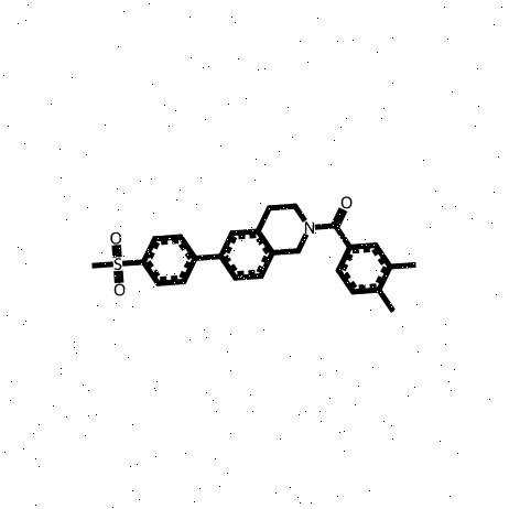 Cc1ccc(C(=O)N2CCc3cc(-c4ccc(S(C)(=O)=O)cc4)ccc3C2)cc1C